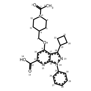 CC(=O)N1CCC(COc2cc(C(=O)O)nc3c2c(C2CCC2)nn3-c2ccccc2)CC1